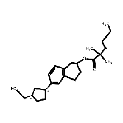 CCCCC(C)(C)C(=O)OC1CCc2cc([C@H]3CC[C@@H](CO)C3)ccc2C1